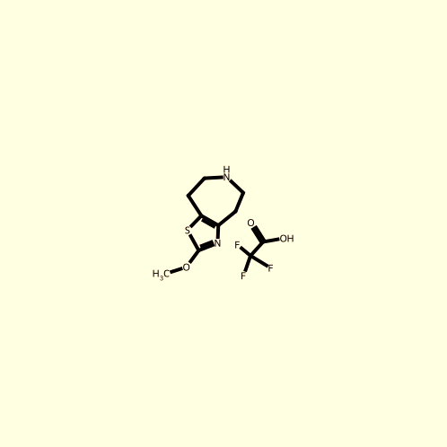 COc1nc2c(s1)CCNCC2.O=C(O)C(F)(F)F